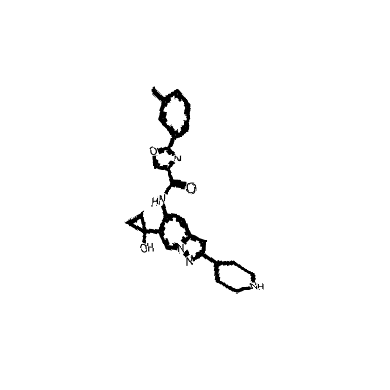 Cc1cccc(-c2nc(C(=O)Nc3cc4cc(C5CCNCC5)nn4cc3C3(O)CC3)co2)c1